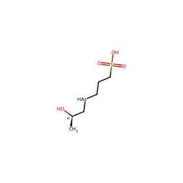 C[C@@H](O)C[AsH]CCCS(=O)(=O)O